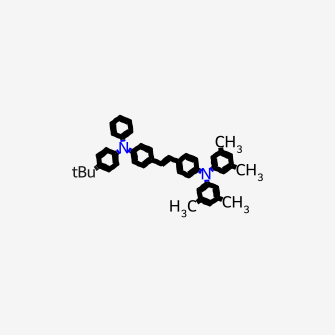 Cc1cc(C)cc(N(c2ccc(/C=C/c3ccc(N(c4ccccc4)c4ccc(C(C)(C)C)cc4)cc3)cc2)c2cc(C)cc(C)c2)c1